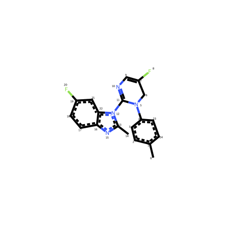 Cc1ccc(N2CC(F)=CN=C2n2c(C)nc3ccc(F)cc32)cc1